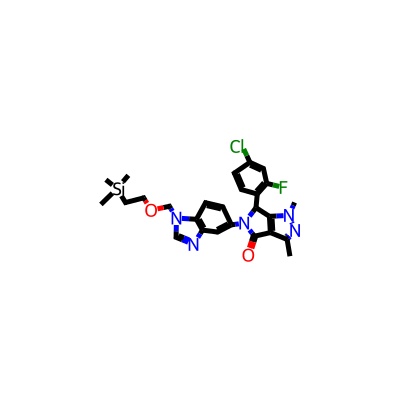 Cc1nn(C)c2c1C(=O)N(c1ccc3c(c1)ncn3COCC[Si](C)(C)C)C2c1ccc(Cl)cc1F